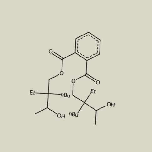 CCCCC(CC)(COC(=O)c1ccccc1C(=O)OCC(CC)(CCCC)C(C)O)C(C)O